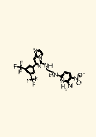 Nc1nc(NCCNc2nc(-c3cc(C(F)(F)F)cc(C(F)(F)F)c3)cc3nccn23)ccc1[N+](=O)[O-]